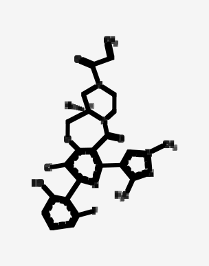 C=CC(=O)N1CCN2C(=O)c3c(-c4cn(C)nc4C)nc(-c4c(O)cccc4F)c(Cl)c3OC[C@H]2C1